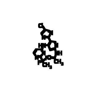 CC(=O)Nc1cc(Nc2ccnc(C(C)(F)F)n2)c(-c2ncc(Cl)cn2)cn1